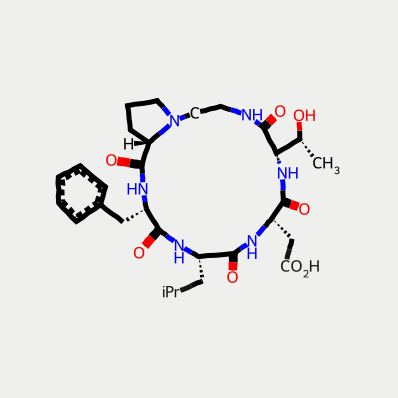 CC(C)C[C@@H]1NC(=O)[C@H](Cc2ccccc2)NC(=O)[C@@H]2CCCN2CCNC(=O)[C@H]([C@@H](C)O)NC(=O)[C@H](CC(=O)O)NC1=O